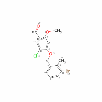 COc1cc(OCc2cccc(Br)c2C)c(Cl)cc1C=O